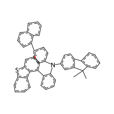 CC1(C)c2ccccc2-c2ccc(N(c3ccc(-c4cccc5ccccc45)cc3)c3ccccc3-c3cccc4sc5ccccc5c34)cc21